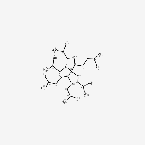 CC(O)COC(OCC(C)O)C(OCC(C)O)(OCC(C)O)C(OCC(C)O)OCC(C)O